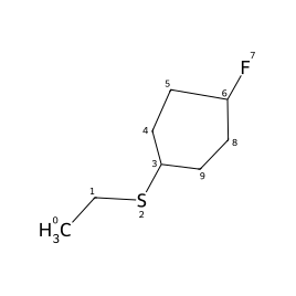 CCSC1CCC(F)CC1